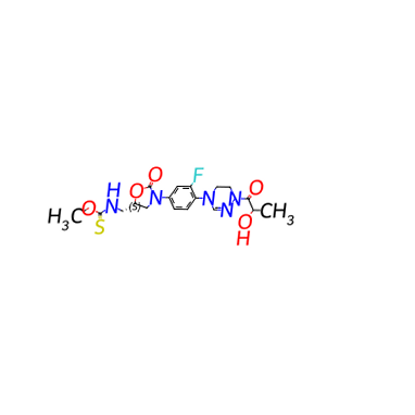 COC(=S)NC[C@H]1CN(c2ccc(N3C=NN(C(=O)C(C)O)CC3)c(F)c2)C(=O)O1